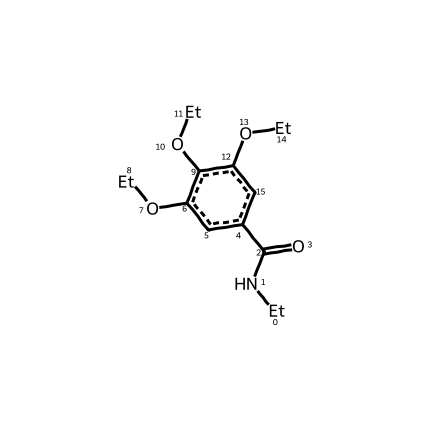 [CH2]CNC(=O)c1cc(OCC)c(OCC)c(OCC)c1